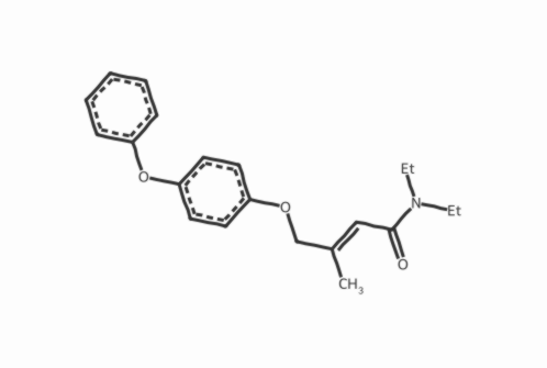 CCN(CC)C(=O)C=C(C)COc1ccc(Oc2ccccc2)cc1